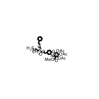 COC(=O)C1O[C@H](Oc2ccc(COC(=O)N(CCN(C)C)COCCc3ccccc3)cc2[N+](=O)[O-])C(OC(C)=O)C(OC(C)=O)C1OC(C)=O